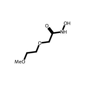 COCCOCC(=O)NO